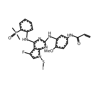 C=CC(=O)Nc1ccc(OC)c(Nc2nc(Nc3ccccc3P(C)(C)=O)c3c(F)cn(SI)c3n2)c1